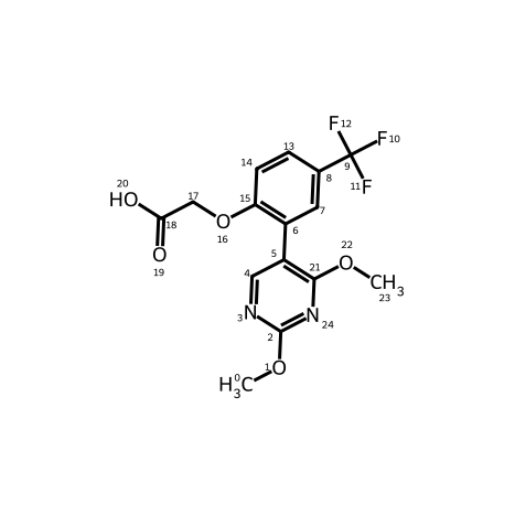 COc1ncc(-c2cc(C(F)(F)F)ccc2OCC(=O)O)c(OC)n1